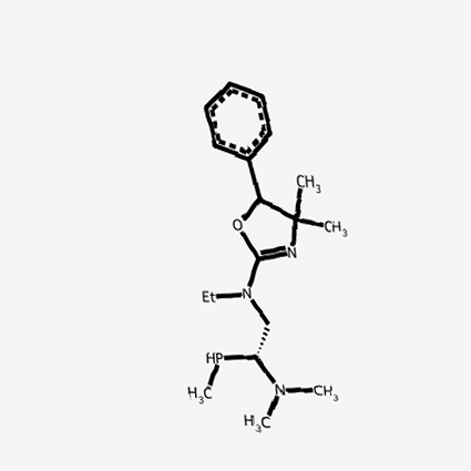 CCN(C[C@@H](PC)N(C)C)C1=NC(C)(C)C(c2ccccc2)O1